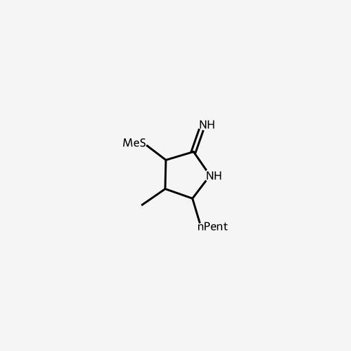 CCCCCC1NC(=N)C(SC)C1C